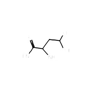 CC(O)CC(N)C(N)=O